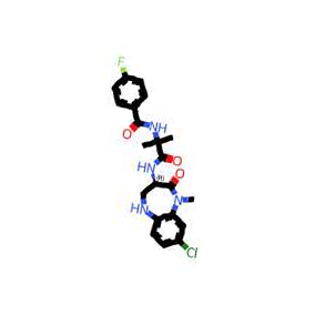 CN1C(=O)[C@H](NC(=O)C(C)(C)NC(=O)c2ccc(F)cc2)CNc2ccc(Cl)cc21